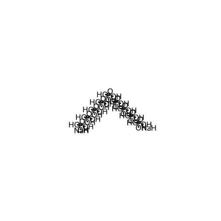 O=P(O)(O)O.O=P(O)(O)O.O=P(O)(O)O.O=P(O)(O)O.O=P(O)(O)O.O=P(O)(O)O.O=P(O)(O)O.O=P(O)(O)O.O=P(O)(O)O.[NaH].[NaH]